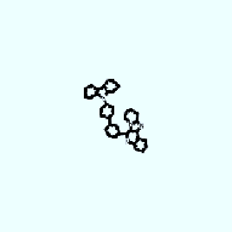 c1cc(-c2ccc(-n3c4ccccc4c4ccccc43)cc2)cc(-c2nc3ccccc3c3nc4ccccn4c23)c1